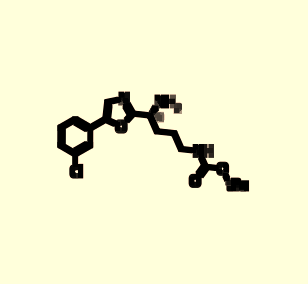 CC(C)(C)OC(=O)NCCC[C@H](N)c1ncc(-c2cccc(Cl)c2)o1